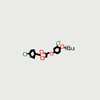 CCC(C)Oc1ccc(OCC2COC(c3ccc(Cl)cc3)O2)cc1Cl